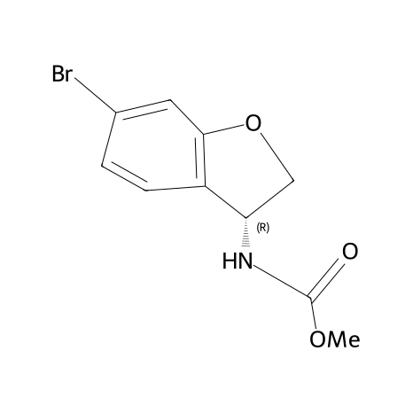 COC(=O)N[C@H]1COc2cc(Br)ccc21